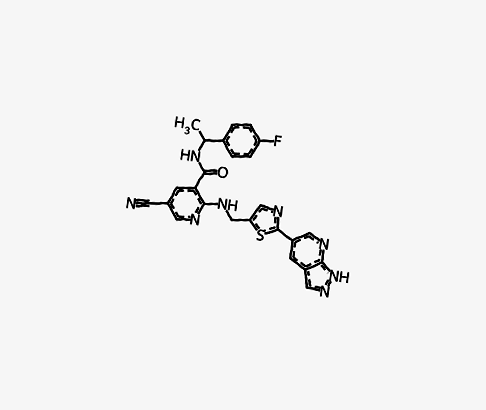 CC(NC(=O)c1cc(C#N)cnc1NCc1cnc(-c2cnc3[nH]ncc3c2)s1)c1ccc(F)cc1